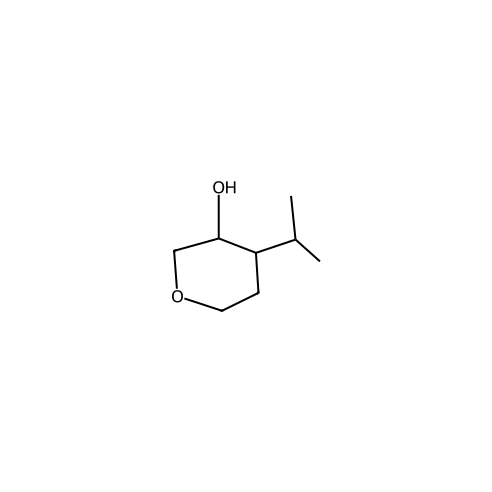 CC(C)C1CCOCC1O